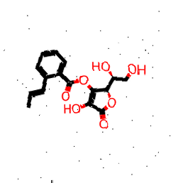 CC=Cc1ccccc1C(=O)OC1=C(O)C(=O)O[C@@H]1[C@@H](O)CO